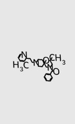 Cc1cccnc1CCN1CCC2(CC1)CN(C(=O)c1ccccc1)CC(C)O2